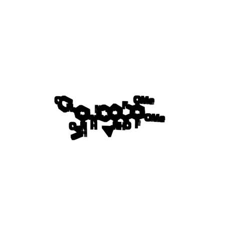 C=CC(=O)Nc1cc(N2CCOCC2)ccc1Nc1cc2c(NC3CC3)c(C(=O)c3c(F)c(OC)cc(OC)c3F)ccc2cn1